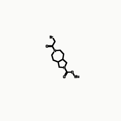 CC(C)(C)OC(=O)N1CC2CCN(C(=O)CBr)CCC2C1